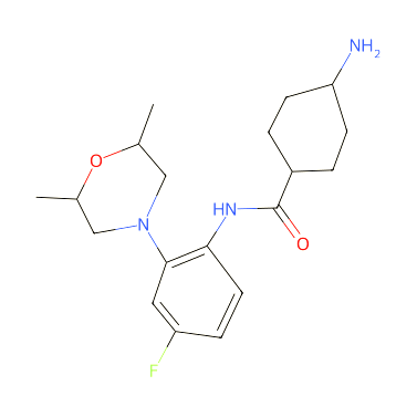 CC1CN(c2cc(F)ccc2NC(=O)C2CCC(N)CC2)CC(C)O1